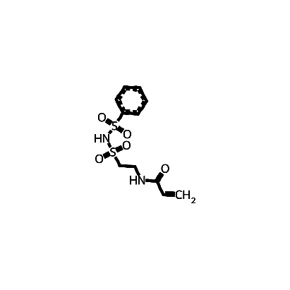 C=CC(=O)NCCS(=O)(=O)NS(=O)(=O)c1ccccc1